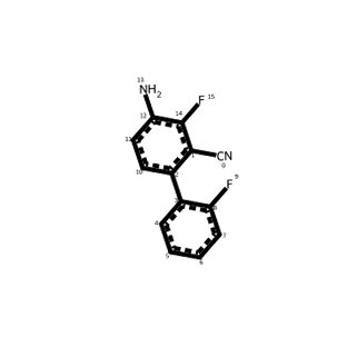 N#Cc1c(-c2ccccc2F)ccc(N)c1F